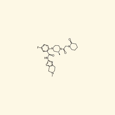 C[C@H]1CN(c2ccc(F)cc2C(=O)Nc2nc3c(s2)CN(C)CC3)CCN1C(=O)CN1CCCCC1=O